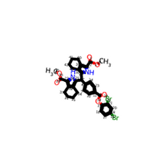 COC(=O)c1[nH]c(C(c2ccc(C(=O)Oc3ccc(Br)cc3Br)cc2)c2[nH]c(C(=O)OC)c3c2CCCC3)c2c1CCCC2